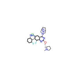 CN1CCC[C@H]1COc1nc(N2CC3CCC(C2)N3)c2cc(Cl)c(-c3c(N)cccc3F)c(F)c2n1